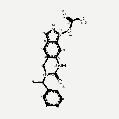 CC(c1ccccc1)N1Cc2cc3cnn(OC(=O)C(F)(F)F)c3cc2NC1=O